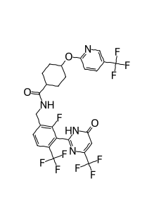 O=C(NCc1ccc(C(F)(F)F)c(-c2nc(C(F)(F)F)cc(=O)[nH]2)c1F)C1CCC(Oc2ccc(C(F)(F)F)cn2)CC1